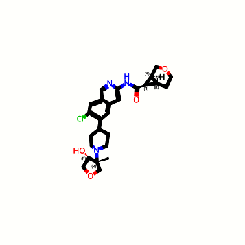 C[C@@]1(N2CCC(c3cc4cc(NC(=O)[C@@H]5[C@@H]6CCOC[C@@H]65)ncc4cc3Cl)CC2)COC[C@@H]1O